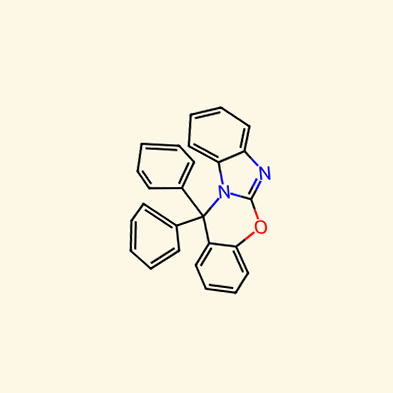 c1ccc(C2(c3ccccc3)c3ccccc3Oc3nc4ccccc4n32)cc1